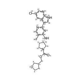 O=C(OCC1CCOC1)N1CC[C@H](Nc2nc(-c3c[nH]c4ncc(Cl)cc34)ncc2F)C1